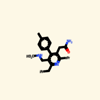 CCCc1nc(CC(C)C)c(CNC(=O)O)c(-c2ccc(C)cc2)c1CC(N)=O